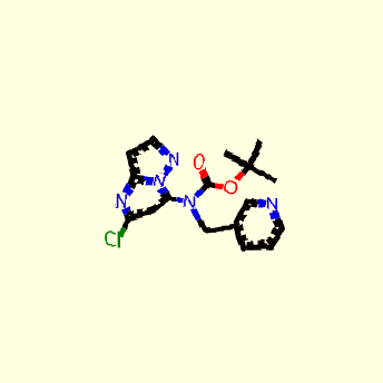 CC(C)(C)OC(=O)N(Cc1cccnc1)c1cc(Cl)nc2ccnn12